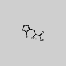 NC(Cc1ccsc1Br)C(=O)O